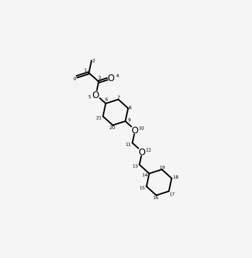 C=C(C)C(=O)OC1CCC(OCOCC2CCCCC2)CC1